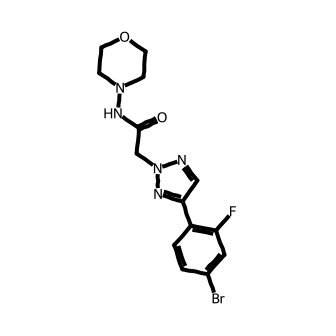 O=C(Cn1ncc(-c2ccc(Br)cc2F)n1)NN1CCOCC1